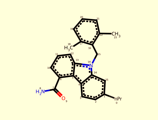 CCCc1c[c]c2c3c(C(N)=O)cccc3n(Cc3c(C)cccc3C)c2c1